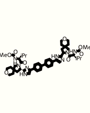 COC(=O)N[C@H](C(=O)N1CC2(CCOCC2)CC1c1ncc(-c2ccc(-c3ccc(-c4c[nH]c([C@@H]5CC6(CCOCC6)CN5C(=O)[C@@H](NC(=O)OC)C(C)C)n4)cc3)cc2)[nH]1)C(C)C